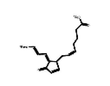 CCCCCC=CC=C1C(=O)C=CC1C/C=C\CCCC(=O)OC